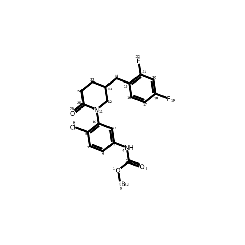 CC(C)(C)OC(=O)Nc1ccc(Cl)c(N2CC(Cc3ccc(F)cc3F)CCC2=O)c1